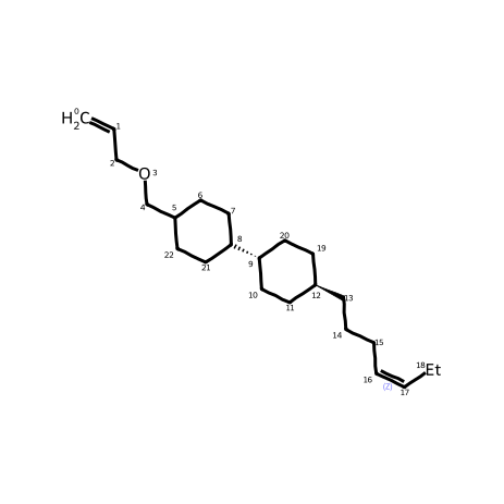 C=CCOCC1CCC([C@H]2CC[C@H](CCC/C=C\CC)CC2)CC1